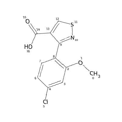 COc1cc(Cl)ccc1-c1nscc1C(=O)O